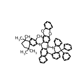 Cc1cc2c(cc1N1c3cc4c(cc3B3c5c1cc1ccccc1c5-c1cccc5c1N3c1ccccc1C5(c1ccccc1)c1ccccc1)Oc1ccccc1O4)C(C)(C)CCC2(C)C